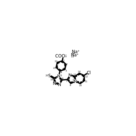 O=C([O-])c1ccc(-n2c(-c3cn4ccc(Cl)cc4n3)n[n-]c2=S)cc1.[Na+].[Na+]